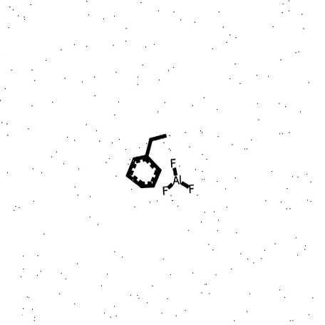 [CH2]Cc1ccccc1.[F][Al]([F])[F]